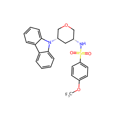 O=S(=O)(N[C@H]1COC[C@@H](n2c3ccccc3c3ccccc32)C1)c1ccc(OC(F)(F)F)cc1